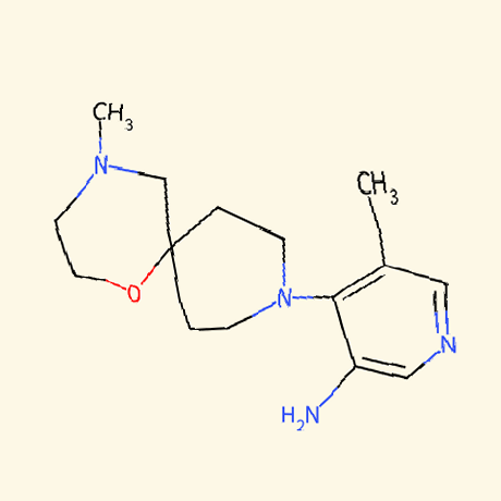 Cc1cncc(N)c1N1CCC2(CC1)CN(C)CCO2